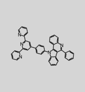 c1ccc(-c2nc3ccccc3c3c2c2ccccc2n3-c2ccc(-c3cc(-c4ccccn4)nc(-c4ccccn4)c3)cc2)cc1